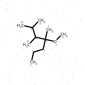 CCCC(C)(OC)C(C)C(C)C